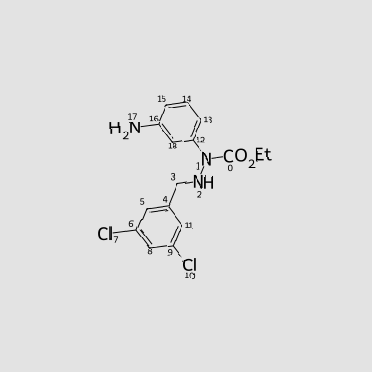 CCOC(=O)N(NCc1cc(Cl)cc(Cl)c1)c1cccc(N)c1